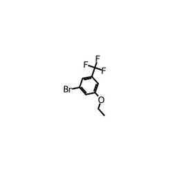 CCOc1cc(Br)cc(C(F)(F)F)c1